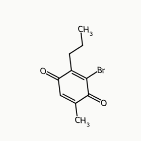 CCCC1=C(Br)C(=O)C(C)=CC1=O